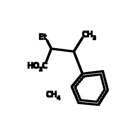 C.CCC(C(=O)O)C(C)c1ccccc1